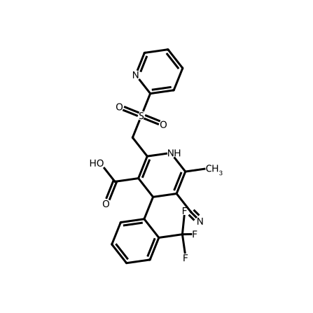 CC1=C(C#N)C(c2ccccc2C(F)(F)F)C(C(=O)O)=C(CS(=O)(=O)c2ccccn2)N1